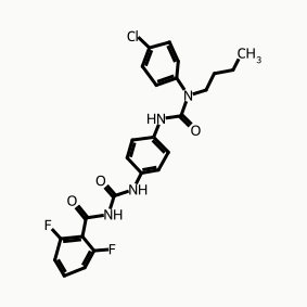 CCCCN(C(=O)Nc1ccc(NC(=O)NC(=O)c2c(F)cccc2F)cc1)c1ccc(Cl)cc1